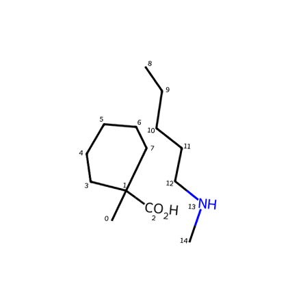 CC1(C(=O)O)CCCCC1.CCCCCNC